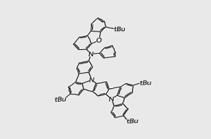 CC(C)(C)c1ccc2c(c1)c1cc(C(C)(C)C)cc3c4cc5c(cc4n2c13)c1cc(C(C)(C)C)cc2c3ccc(N(c4ccccc4)c4cccc6c4oc4c(C(C)(C)C)cccc46)cc3n5c21